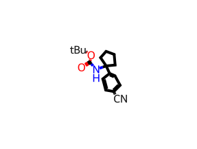 CC(C)(C)OC(=O)NC1(c2ccc(C#N)cc2)CCCC1